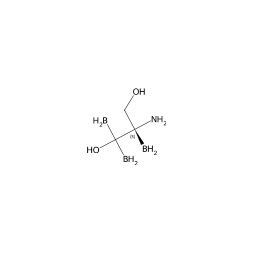 BC(B)(O)[C@@](B)(N)CO